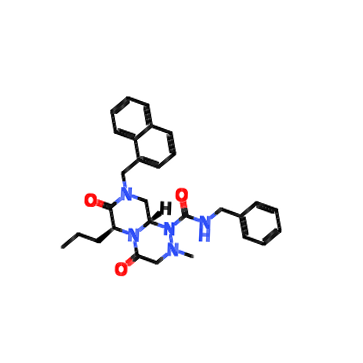 CCC[C@H]1C(=O)N(Cc2cccc3ccccc23)C[C@H]2N1C(=O)CN(C)N2C(=O)NCc1ccccc1